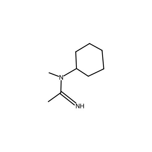 CC(=N)N(C)C1CCCCC1